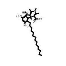 CCCCCCCCCCCCCCCc1c(N)cc(N)c(OC)c1C1(C)C(C(=O)O)=C(C)N(C)C(C)=C1C(=O)O